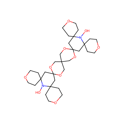 ON1C2(CCOCC2)CC2(CC13CCOCC3)OCC1(CO2)COC2(CC3(CCOCC3)N(O)C3(CCOCC3)C2)OC1